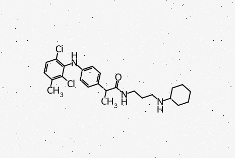 Cc1ccc(Cl)c(Nc2ccc(C(C)C(=O)NCCCNC3CCCCC3)cc2)c1Cl